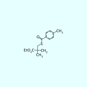 CCOC(=O)C(C)(C)CSC(=O)c1ccc(C)cc1